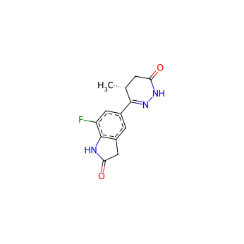 C[C@@H]1CC(=O)NN=C1c1cc(F)c2c(c1)CC(=O)N2